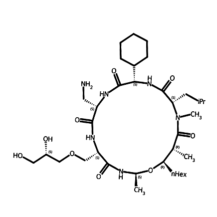 CCCCCC[C@H]1O[C@@H](C)NC(=O)[C@H](COC[C@@H](O)CO)NC(=O)[C@H](CN)NC(=O)[C@H](C2CCCCC2)NC(=O)[C@H](CC(C)C)N(C)C(=O)[C@@H]1C